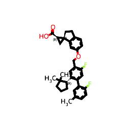 Cc1ccc(F)c(-c2cc(F)c(COc3ccc4c(c3)[C@]3(CC4)C[C@H]3C(=O)O)cc2[C@@H]2CCCC2(C)C)c1